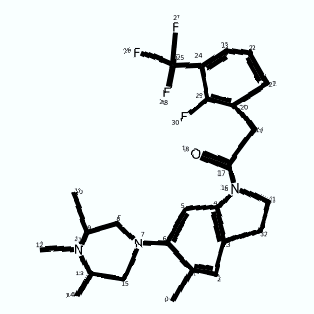 Cc1cc2c(cc1N1CC(C)N(C)C(C)C1)N(C(=O)Cc1cccc(C(F)(F)F)c1F)CC2